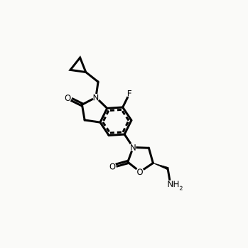 NC[C@@H]1CN(c2cc(F)c3c(c2)CC(=O)N3CC2CC2)C(=O)O1